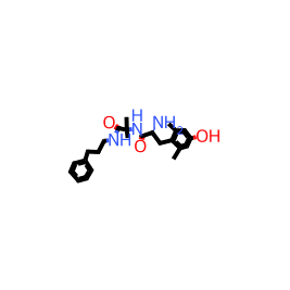 Cc1cc(O)cc(C)c1C[C@@H](N)C(=O)NC(C)(C)C(=O)NCCCc1ccccc1